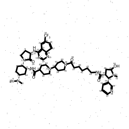 CC(C)N(C)[C@@H]1CC[C@H](N2CC[C@H](Nc3ncnc4ccc(C(F)(F)F)cc34)C2=O)[C@H](NC(=O)C2CCN(C3CCN(C(=O)CCCCCNC(=O)[C@H]4CC(O)N(C)[C@@H]4c4cccnc4)CC3)CC2)C1